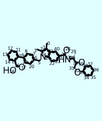 Cc1c(C)n(Cc2ccc(-c3ccccc3C(=O)O)cc2)c2ccc(C(=O)N[C@H](C)C3COc4ccccc4O3)cc12